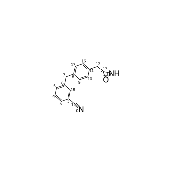 N#Cc1cccc(Cc2ccc(C[C]3NO3)cc2)c1